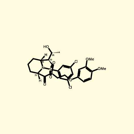 COc1ccc(OCCN2C[C@H]([C@@H](C)O)[C@H]3CCC[C@@H](C2=O)N3S(=O)(=O)c2cc(Cl)cc(Cl)c2)cc1OC